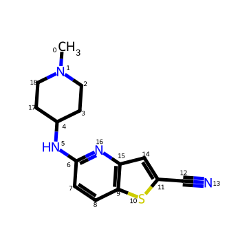 CN1CCC(Nc2ccc3sc(C#N)cc3n2)CC1